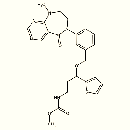 COC(=O)NCCC(OCc1cccc(N2CCN(C)c3ncncc3C2=O)c1)c1cccs1